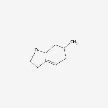 CC1CC=C2CCOC2C1